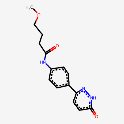 COCCCC(=O)Nc1ccc(-c2ccc(=O)[nH]n2)cc1